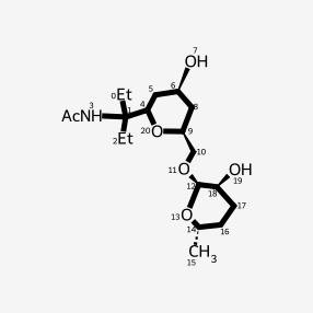 CCC(CC)(NC(C)=O)C1C[C@@H](O)C[C@@H](CO[C@@H]2O[C@@H](C)CC[C@@H]2O)O1